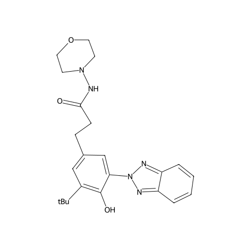 CC(C)(C)c1cc(CCC(=O)NN2CCOCC2)cc(-n2nc3ccccc3n2)c1O